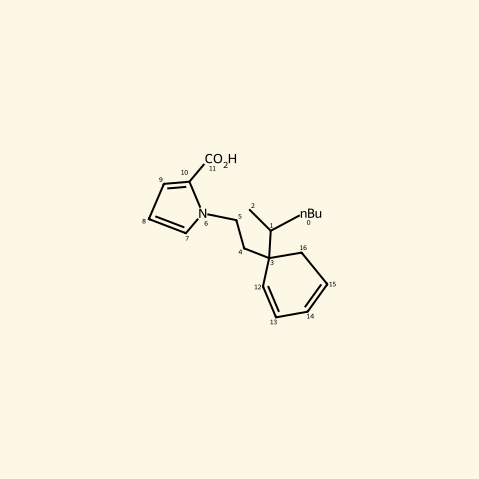 CCCCC(C)C1(CCn2cccc2C(=O)O)C=CC=CC1